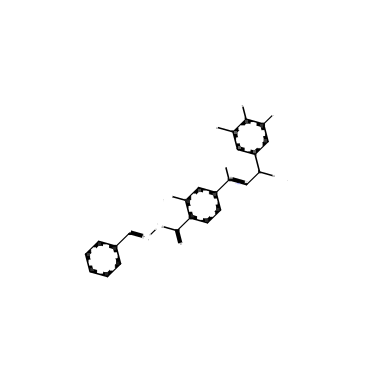 O=C(NN=Cc1ccccc1)c1ccc(/C(F)=C/C(c2cc(Cl)c(Cl)c(Cl)c2)C(F)(F)F)cc1C(F)(F)F